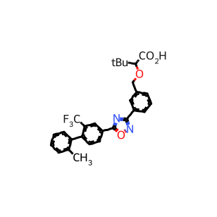 Cc1ccccc1-c1ccc(-c2nc(-c3cccc(COC(C(=O)O)C(C)(C)C)c3)no2)cc1C(F)(F)F